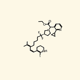 CCOC(=O)C(c1cccnc1C1CC1)N1CC[C@@H](C(F)(F)CCCCC(/C=C\C2=C(I)NCCC2)=C(C)C)C1